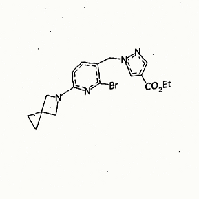 CCOC(=O)c1cnn(Cc2ccc(N3CC4(CC4)C3)nc2Br)c1